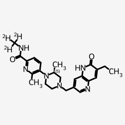 [2H]C([2H])([2H])NC(=O)c1ccc(N2CCN(Cc3cnc4cc(CC)c(=O)[nH]c4c3)C[C@@H]2C)c(C)n1